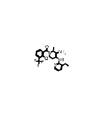 CCc1cccnc1NC1=C(N)C(C)N(C(=O)c2cccc(C(F)(F)F)c2Cl)CC1